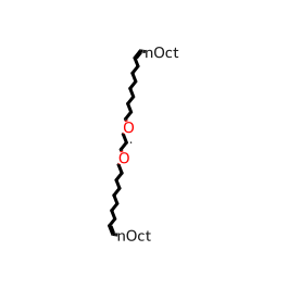 CCCCCCCC/C=C\CCCCCCCCOC[CH]COCCCCCCCC/C=C\CCCCCCCC